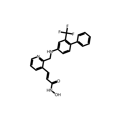 O=C(C=Cc1cccnc1CNc1ccc(-c2ccccc2)c(C(F)(F)F)c1)NO